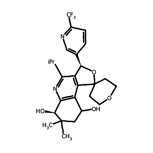 CC(C)c1nc2c(c3c1[C@@H](c1ccc(C(F)(F)F)nc1)OC31CCOCC1)C(O)CC(C)(C)[C@H]2O